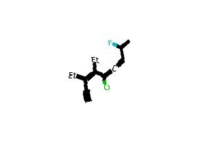 C#C/C(CC)=C(/CC)C(Cl)=C=CC(C)F